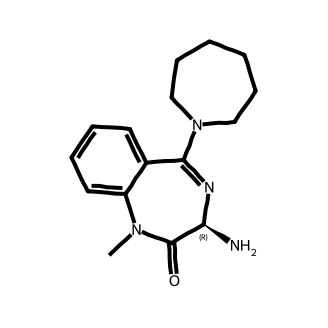 CN1C(=O)[C@H](N)N=C(N2CCCCCC2)c2ccccc21